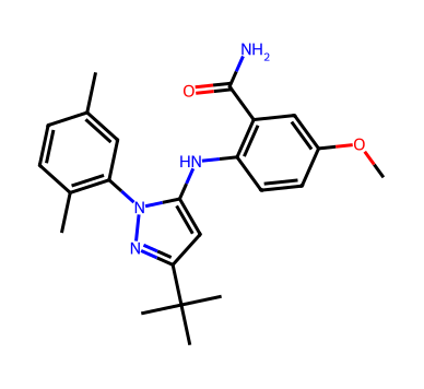 COc1ccc(Nc2cc(C(C)(C)C)nn2-c2cc(C)ccc2C)c(C(N)=O)c1